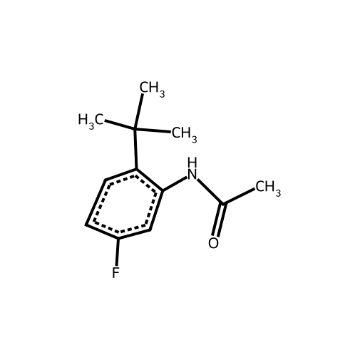 CC(=O)Nc1cc(F)ccc1C(C)(C)C